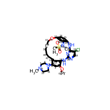 CC(C)Oc1cc(N2CCN(C)CC2)c2cc1Nc1ncc(Cl)c(n1)Nc1ccc(cc1N(C)S(C)(=O)=O)OCCCCC2